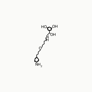 Nc1ccc(CCCCOCCCCCCNCC(O)c2cc(O)cc(O)c2)cc1